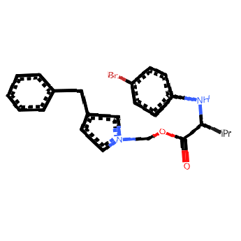 CC(C)C(Nc1ccc(Br)cc1)C(=O)OCn1ccc(Cc2ccccc2)c1